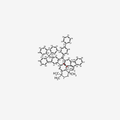 CC1(C)CCC(C)(C)c2cc(-c3cc4c(cc3N(c3ccc(-c5ccccc5)cc3)c3ccc5sc6ccccc6c5c3)C(c3ccccc3)(c3ccccc3)c3ccccc3-4)ccc21